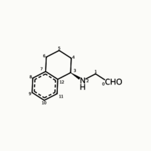 O=CCN[C@@H]1CCCc2ccccc21